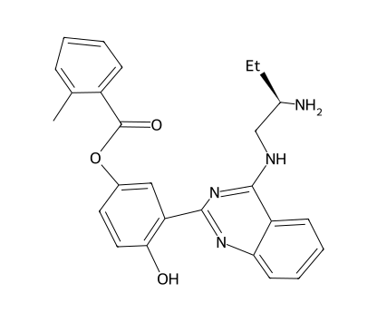 CC[C@@H](N)CNc1nc(-c2cc(OC(=O)c3ccccc3C)ccc2O)nc2ccccc12